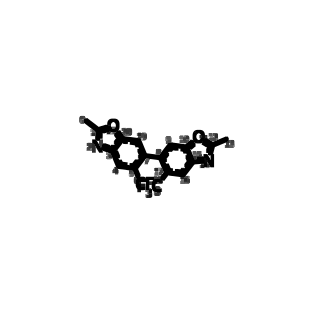 Cc1nc2cc(C(F)(F)F)c(-c3cc4oc(C)nc4cc3C(F)(F)F)cc2o1